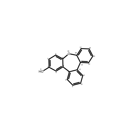 Oc1ccc2c(c1)-c1ccccc1-c1ccccc1O2